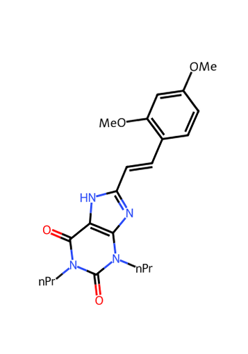 CCCn1c(=O)c2[nH]c(C=Cc3ccc(OC)cc3OC)nc2n(CCC)c1=O